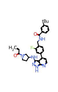 C=CC(=O)N1CCC(Nc2n[nH]c3nccc(-c4ccc(CNC(=O)c5cccc(C(C)(C)C)c5)c(F)c4)c23)C1